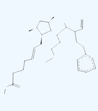 C=CC(CCc1ccccc1)C(C(=O)O)C(CCO[N+](=O)[O-])[C@@H]1[C@@H](CC=CCCCC(=O)NCC)[C@@H](O)C[C@H]1O